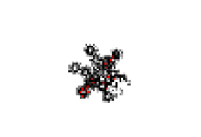 Cc1cc(C)cc(-c2c(-n3c4ccc(C#N)cc4c4cc(C#N)ccc43)c(-n3c4ccc(-c5ccccc5)cc4c4cc(-c5ccccc5)ccc43)nc(-n3c4ccc(-c5ccccc5)cc4c4cc(-c5ccccc5)ccc43)c2-n2c3ccc(-c4ccccc4)cc3c3cc(-c4ccccc4)ccc32)c1